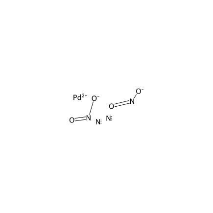 O=N[O-].O=N[O-].[N].[N].[Pd+2]